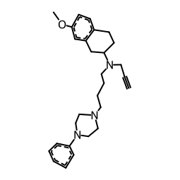 C#CCN(CCCCN1CCN(c2ccccc2)CC1)C1CCc2ccc(OC)cc2C1